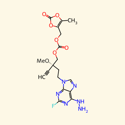 C#C[C@](CCn1cnc2c(NN)nc(F)nc21)(COC(=O)OCc1oc(=O)oc1C)OC